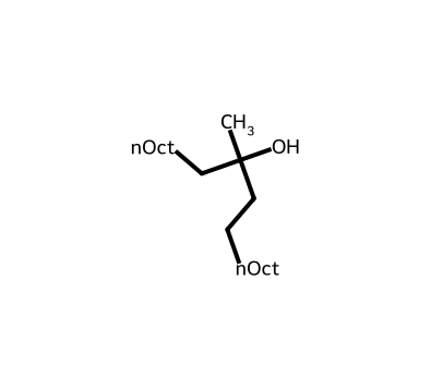 CCCCCCCCCCC(C)(O)CCCCCCCCC